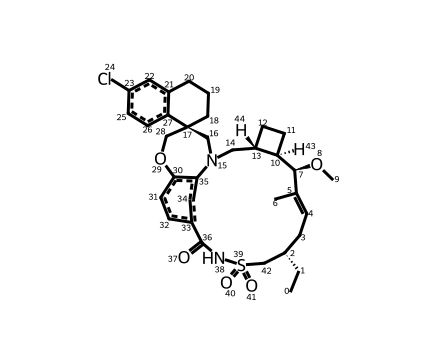 CC[C@H]1C/C=C(\C)[C@H](OC)[C@@H]2CC[C@H]2CN2C[C@@]3(CCCc4cc(Cl)ccc43)COc3ccc(cc32)C(=O)NS(=O)(=O)C1